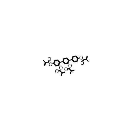 C=C(C)C(=O)Oc1ccc(-c2ccc(-c3ccc(OC(=O)C(=C)C)cc3OC(=O)C(=C)C)cc2OC(=O)C(=C)C)cc1